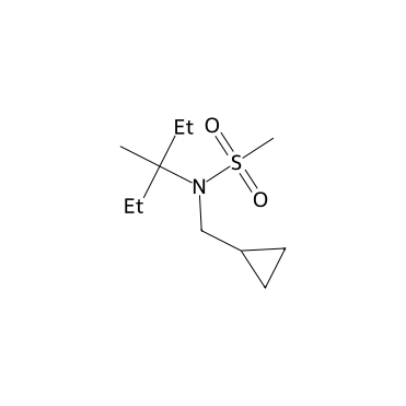 CCC(C)(CC)N(CC1CC1)S(C)(=O)=O